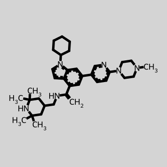 C=C(NCC1CC(C)(C)NC(C)(C)C1)c1cc(-c2ccc(N3CCN(C)CC3)nc2)cc2c1ccn2C1CCCCC1